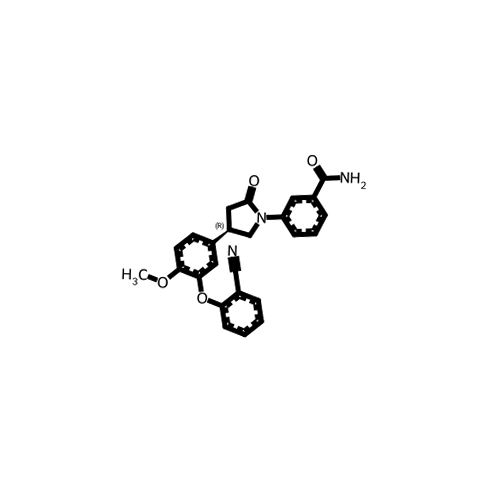 COc1ccc([C@H]2CC(=O)N(c3cccc(C(N)=O)c3)C2)cc1Oc1ccccc1C#N